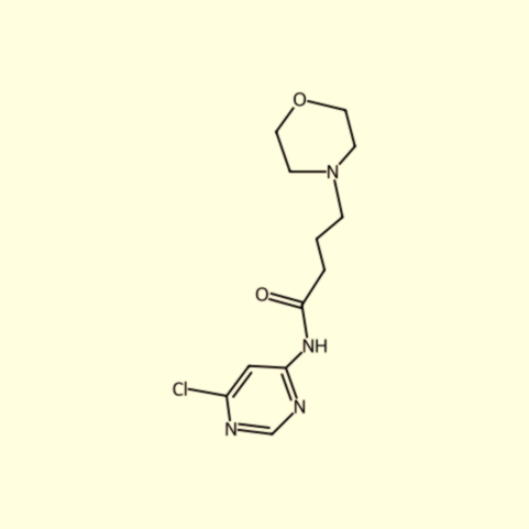 O=C(CCCN1CCOCC1)Nc1cc(Cl)ncn1